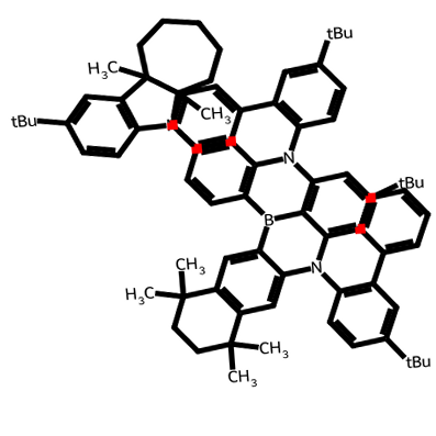 CC(C)(C)c1ccc(N2c3cc(N4c5ccc(C(C)(C)C)cc5C5(C)CCCCCC45C)ccc3B3c4cc5c(cc4N(c4ccc(C(C)(C)C)cc4-c4ccccc4)c4cc(C(C)(C)C)cc2c43)C(C)(C)CCC5(C)C)c(-c2ccccc2)c1